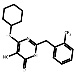 N#Cc1c(NC2CCCCC2)nc(Cc2ccccc2C(F)(F)F)[nH]c1=O